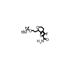 CC(C)(C)[Si](C)(C)OCCC1OCCc2c1sc(C(N)=O)c2F